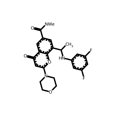 CNC(=O)c1cc(C(C)Nc2cc(F)cc(F)c2)c2oc(N3CCOCC3)cc(=O)c2c1